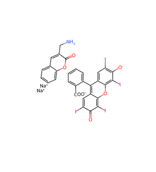 NCc1cc2ccccc2oc1=O.O=C([O-])c1ccccc1-c1c2cc(I)c(=O)c(I)c-2oc2c(I)c([O-])c(I)cc12.[Na+].[Na+]